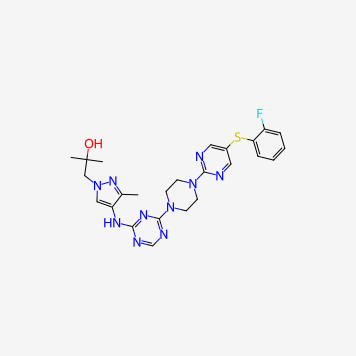 Cc1nn(CC(C)(C)O)cc1Nc1ncnc(N2CCN(c3ncc(Sc4ccccc4F)cn3)CC2)n1